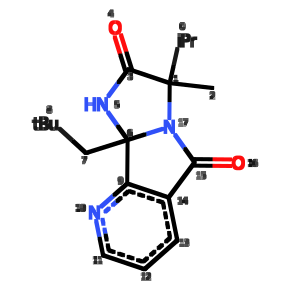 CC(C)C1(C)C(=O)NC2(CC(C)(C)C)c3ncccc3C(=O)N21